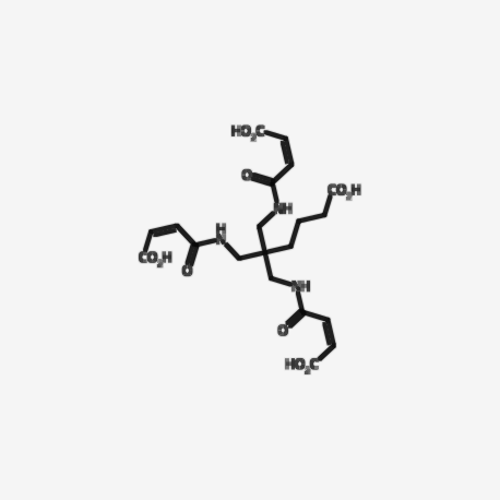 O=C(O)/C=C\C(=O)NCC(CCCC(=O)O)(CNC(=O)/C=C\C(=O)O)CNC(=O)/C=C\C(=O)O